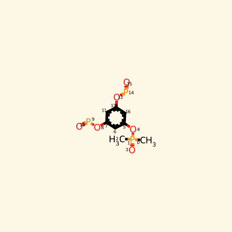 CP(C)(=O)Oc1cc(OP=O)cc(OP=O)c1